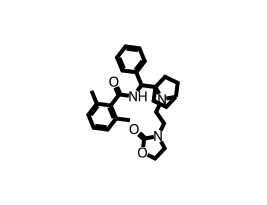 Cc1cccc(C)c1C(=O)NC(c1ccccc1)C12CCC(CC1)N2CCN1CCOC1=O